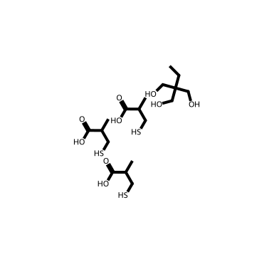 CC(CS)C(=O)O.CC(CS)C(=O)O.CC(CS)C(=O)O.CCC(CO)(CO)CO